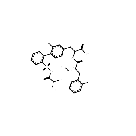 C[C@H](O)C(=O)NS(=O)(=O)c1ccccc1-c1ccc(CC(NC(=O)[C@@H](CS)Cc2ccccc2F)C(N)=O)cc1Cl